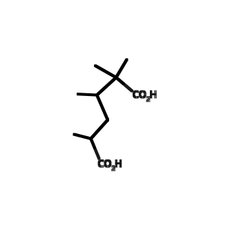 CC(CC(C)C(C)(C)C(=O)O)C(=O)O